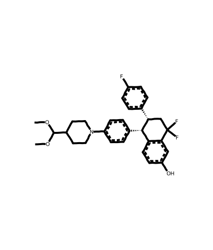 COC(OC)C1CCN(c2ccc([C@H]3c4ccc(O)cc4C(F)(F)C[C@H]3c3ccc(F)cc3)cc2)CC1